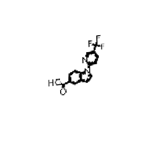 O=C(O)c1ccc2c(ccn2-c2ccc(C(F)(F)F)cn2)c1